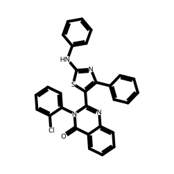 O=c1c2ccccc2nc(-c2sc(Nc3ccccc3)nc2-c2ccccc2)n1-c1ccccc1Cl